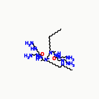 CCCCCCCC/C=C\CCCCCCCC[N+](C)(CCCC[N+](C)(CCCCCCCC/C=C\CCCCCCCC)CC(C)CNC(=O)C(CCCNCCCN)NCCCCN)CC(C)CNC(=O)C(CCCNCCCN)NCCCN